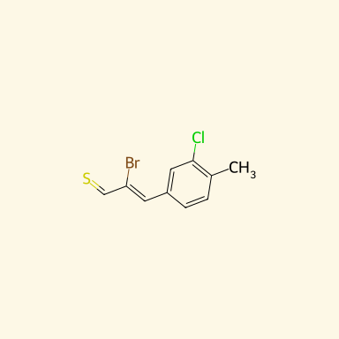 Cc1ccc(/C=C(\Br)C=S)cc1Cl